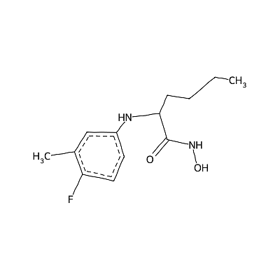 CCCCC(Nc1ccc(F)c(C)c1)C(=O)NO